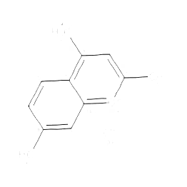 Cc1cc(C)c2ccc(O)cc2[o+]1.[Cl-]